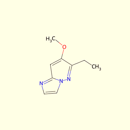 CCc1nn2ccnc2cc1OC